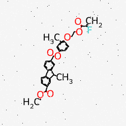 C=COC(=O)c1ccc2c(c1)C(C)c1cc(C(=O)Oc3ccc(OCCOC(=O)C(=C)F)c(C)c3)ccc1-2